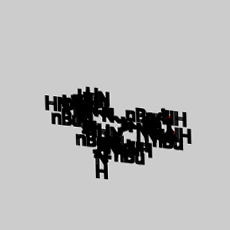 CCCCN(c1nc(NCCCN(CCCN)CCCCN(CCCNc2nc(N(CCCC)C3CC(C)(C)NC(C)(C)C3)nc(N(CCCC)C3CC(C)(C)NC(C)(C)C3)n2)CCCNc2nc3nc(n2)N(CCCC)C2CC(C)(C)NC(C)(C2)CC2(C)CC(CC(C)(C)N2)N3CCCC)nc(N(CCCC)C2CC(C)(C)NC(C)(C)C2)n1)C1CC(C)(C)NC(C)(C)C1